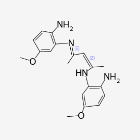 COc1ccc(N)c(/N=C(C)/C=C(/C)Nc2cc(OC)ccc2N)c1